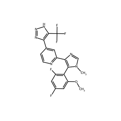 COc1cc(F)cc(F)c1-c1c(-c2cc(-c3nn[nH]c3C(F)(F)F)ccn2)ncn1C